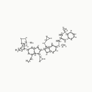 COc1cc(C(=O)N2C3CC[C@H]2C[C@H]3N)cc2nc(-c3cc4ccc([C@@H](C)NC(=O)N[C@@H](C)c5cccnc5)nc4n3CC3CC3)c(C3CC3)n12